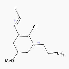 C=C/C=C1\CC(OC)CC(/C=C/I)=C1Cl